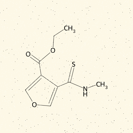 CCOC(=O)c1cocc1C(=S)NC